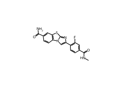 CNC(=O)c1ccc(-c2cn3c(n2)sc2cc(C(N)=O)ccc23)c(F)c1